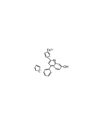 Oc1ccc2c(-c3ccccc3)cc(-[c-]3cccc3)nc2c1.[Fe+2].c1cc[cH-]c1